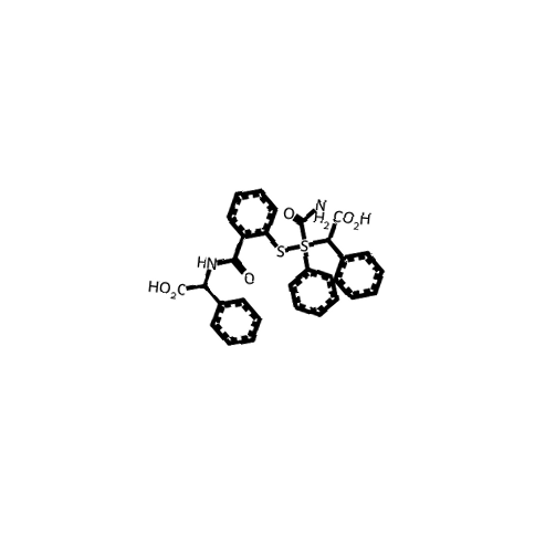 NC(=O)S(Sc1ccccc1C(=O)NC(C(=O)O)c1ccccc1)(c1ccccc1)C(C(=O)O)c1ccccc1